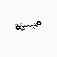 CC(C)c1cccc(C(C)C)c1NC(=O)CCCCC[S+]([O-])c1nc2ccccc2o1